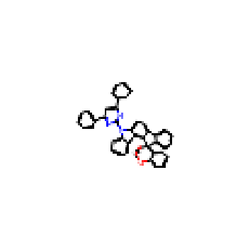 c1ccc(-c2cc(-c3ccccc3)nc(-n3c4ccccc4c4c5c(ccc43)-c3ccccc3C53c4ccccc4Oc4ccccc43)n2)cc1